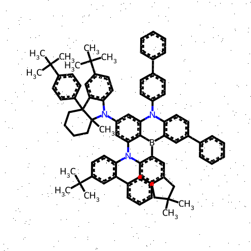 CC1(C)Cc2cc3c(cc2C1)N(c1ccc(C(C)(C)C)cc1-c1ccccc1)c1cc(N2c4ccc(C(C)(C)C)cc4C4(c5ccc(C(C)(C)C)cc5)CCCCC24C)cc2c1B3c1cc(-c3ccccc3)ccc1N2c1ccc(-c2ccccc2)cc1